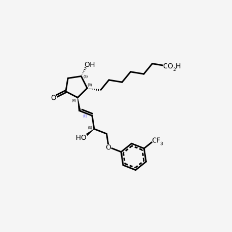 O=C(O)CCCCCC[C@H]1[C@@H](O)CC(=O)[C@@H]1/C=C/[C@H](O)COc1cccc(C(F)(F)F)c1